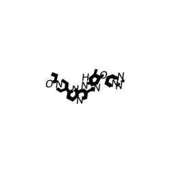 C=CC(=O)N1CC=C(c2ccc3ncc(C#N)c(Nc4ccc(Oc5ccn6ncnc6c5)c(C)c4)c3n2)CC1